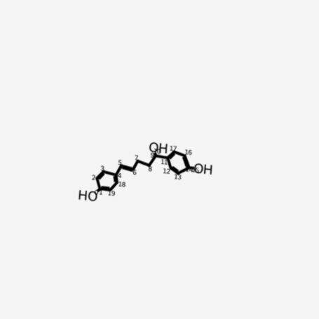 Oc1ccc(C=CCCC(O)c2ccc(O)cc2)cc1